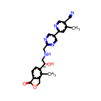 Cc1cc(-c2cnc(CNC[C@H](O)c3ccc4c(c3C)COC4=O)nc2)ncc1C#N